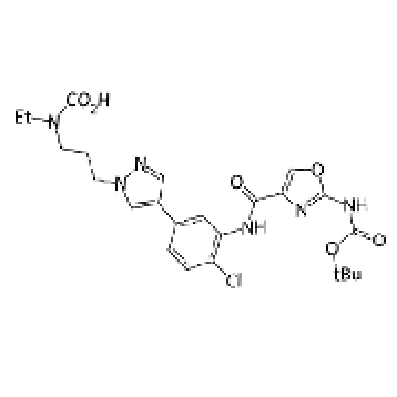 CCN(CCCn1cc(-c2ccc(Cl)c(NC(=O)c3coc(NC(=O)OC(C)(C)C)n3)c2)cn1)C(=O)O